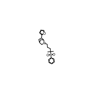 CC(C)(CCCN1CC2CC(c3ccco3)C1C2)S(=O)(=O)c1ccccc1